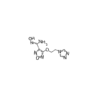 N/C(=N\O)c1nonc1OCCn1cnnc1